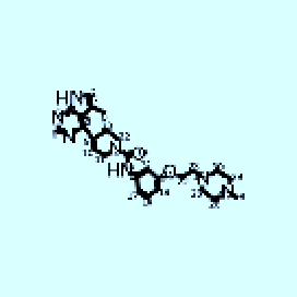 Cc1c[nH]c2ncnc(C3=CCN(C(=O)Nc4cccc(OCCN5CCN(C)CC5)c4)CC3)c12